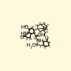 C[C@@H](Cc1cccc(OCCC23CC4CC(CC(C4)C2)C3)c1)NC[C@H](O)c1ccc(O)c2[nH]c(=O)ccc12